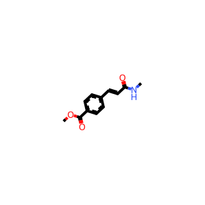 CNC(=O)/C=C/c1ccc(C(=O)OC)cc1